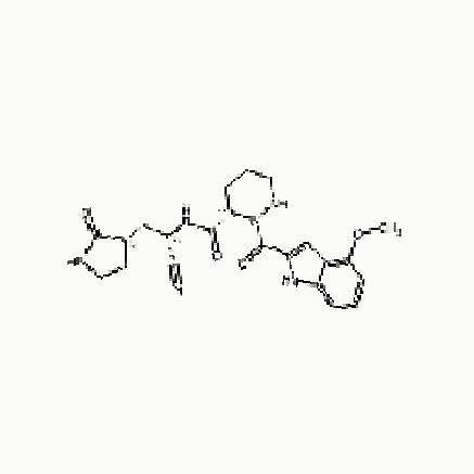 COc1cccc2[nH]c(C(=O)N3NCCC[C@H]3C(=O)N[C@H](C#N)C[C@@H]3CCNC3=O)cc12